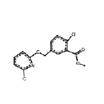 COC(=O)c1cc(COc2cccc(Cl)n2)ccc1Cl